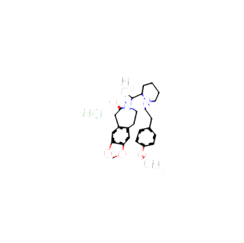 COc1ccc(CCN2CCCCC2C(C)N2CCc3cc4c(cc3CC2=O)OCO4)cc1.Cl